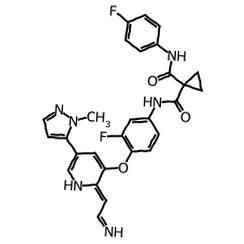 Cn1nccc1C1=CN/C(=C\C=N)C(Oc2ccc(NC(=O)C3(C(=O)Nc4ccc(F)cc4)CC3)cc2F)=C1